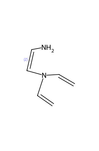 C=CN(C=C)/C=C\N